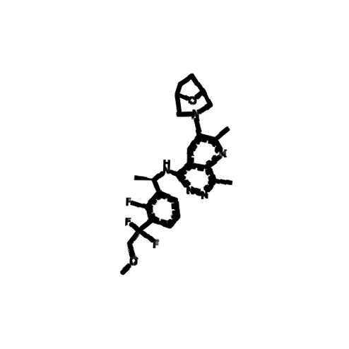 COCC(F)(F)c1cccc([C@@H](C)Nc2nnc(C)c3nc(C)c(N4CC5CCC(C4)O5)cc23)c1F